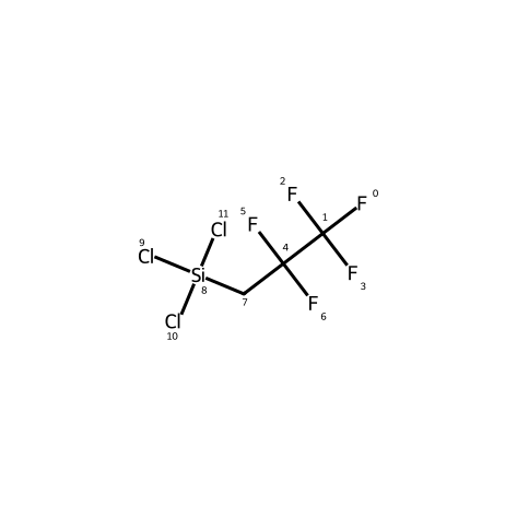 FC(F)(F)C(F)(F)C[Si](Cl)(Cl)Cl